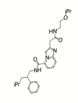 CC(C)CC(CNC(=O)c1cccc2nc(CC(=O)NCCOC(C)C)cn12)c1ccccc1